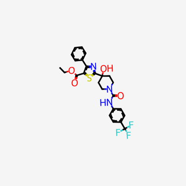 CCOC(=O)c1sc(C2(O)CCN(C(=O)Nc3ccc(C(F)(F)F)cc3)CC2)nc1-c1ccccc1